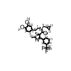 COc1ccc(CCN(CC2CC2)C(=O)c2sc(C)nc2-c2cccc(C(F)(F)F)c2)cc1OC